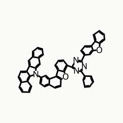 c1ccc(-c2nc(-c3ccc4c(c3)oc3ccccc34)nc(-c3cccc4c3oc3ccc5ccc(-n6c7cc8ccccc8cc7c7ccc8ccccc8c76)cc5c34)n2)cc1